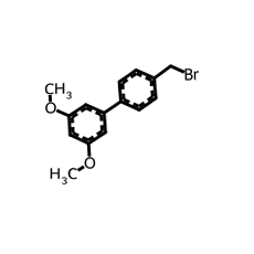 COc1cc(OC)cc(-c2ccc(CBr)cc2)c1